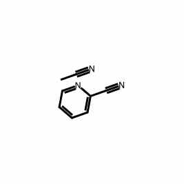 CC#N.N#Cc1ccccn1